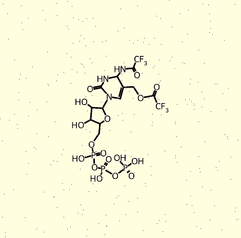 O=C1NC(NC(=O)C(F)(F)F)C(COC(=O)C(F)(F)F)=CN1C1OC(COP(=O)(O)OP(=O)(O)OP(=O)(O)O)C(O)C1O